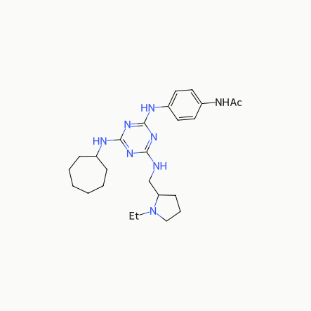 CCN1CCCC1CNc1nc(Nc2ccc(NC(C)=O)cc2)nc(NC2CCCCCC2)n1